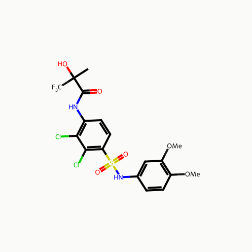 COc1ccc(NS(=O)(=O)c2ccc(NC(=O)C(C)(O)C(F)(F)F)c(Cl)c2Cl)cc1OC